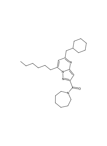 CCCCCCc1cc(CC2CCCCC2)nc2cc(C(=O)N3CCCCCC3)nn12